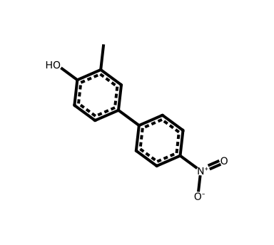 Cc1cc(-c2ccc([N+](=O)[O-])cc2)ccc1O